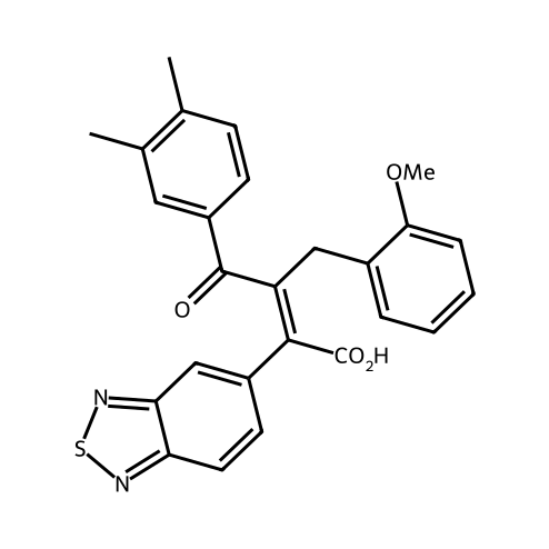 COc1ccccc1CC(C(=O)c1ccc(C)c(C)c1)=C(C(=O)O)c1ccc2nsnc2c1